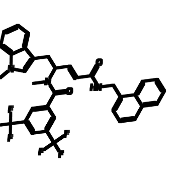 CN(C(=O)c1cc(C(F)(F)F)cc(C(F)(F)F)c1)C(C=CC(=O)NCc1cccc2ccccc12)Cc1cn(C)c2ccccc12